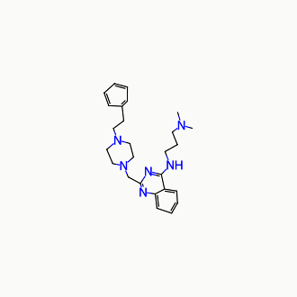 CN(C)CCCNc1nc(CN2CCN(CCc3ccccc3)CC2)nc2ccccc12